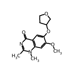 COc1cc2c(cc1OC1CCOC1)c(=O)nc(C)n2C